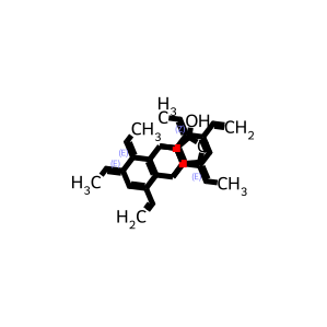 C=Cc1cc(=C\C)/c(=C/C)c2c1C1c3c(/c(=C\C)c(C=C)c/c3=C\C)C2C2C(O)OCC12